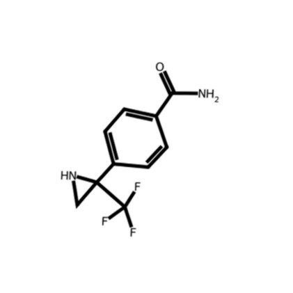 NC(=O)c1ccc(C2(C(F)(F)F)CN2)cc1